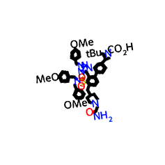 COc1ccc(CN(Cc2ccc(OC)cc2)S(=O)(=O)c2c(CC3CCN(CC(N)=O)CC3)ccc(-c3ccc(C4CN(C(=O)O)C4C(C)(C)C)cc3)c2-c2nnn(Cc3ccc(OC)cc3)n2)cc1